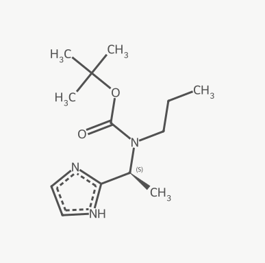 CCCN(C(=O)OC(C)(C)C)[C@@H](C)c1ncc[nH]1